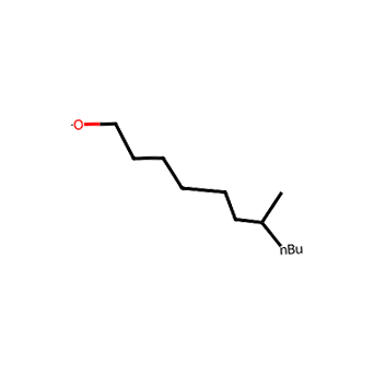 CCCCC(C)CCCCCC[O]